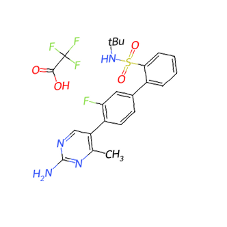 Cc1nc(N)ncc1-c1ccc(-c2ccccc2S(=O)(=O)NC(C)(C)C)cc1F.O=C(O)C(F)(F)F